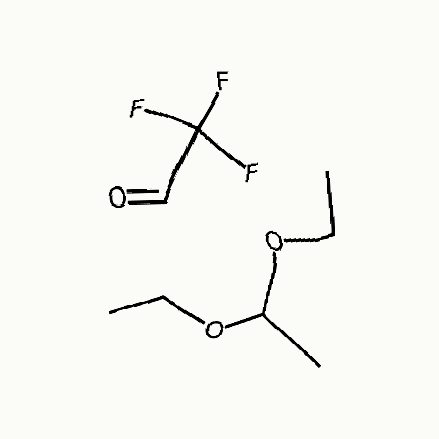 CCOC(C)OCC.O=CC(F)(F)F